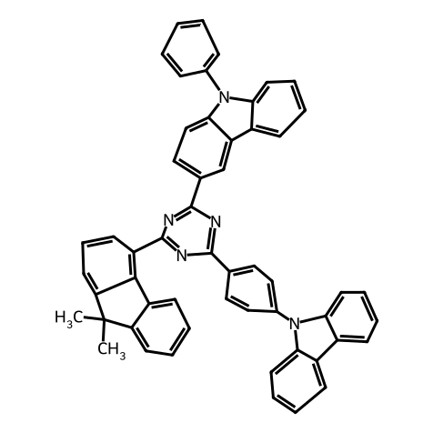 CC1(C)c2ccccc2-c2c(-c3nc(-c4ccc(-n5c6ccccc6c6ccccc65)cc4)nc(-c4ccc5c(c4)c4ccccc4n5-c4ccccc4)n3)cccc21